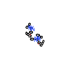 c1cc(-c2cc3c4c(c5ccccc5cc4c2)-c2cc(-c4ncnc(-n5c6ccccc6c6ccccc65)n4)ccc2-3)cc(-c2nc(-c3ccc4c(c3)-c3c5ccccc5cc5cccc-4c35)nc(-n3c4ccccc4c4ccccc43)n2)c1